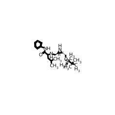 CC(C)CC(NC[C@H]1N[C@@H]1CO[Si](C)(C)C(C)(C)C)C(=O)Nc1ccccc1